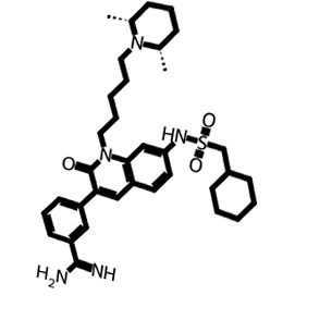 C[C@@H]1CCC[C@H](C)N1CCCCCn1c(=O)c(-c2cccc(C(=N)N)c2)cc2ccc(NS(=O)(=O)CC3CCCCC3)cc21